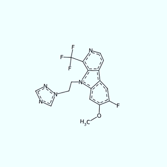 COc1cc2c(cc1F)c1ccnc(C(F)(F)F)c1n2CCn1cncn1